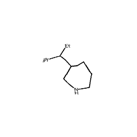 CCC(C(C)C)C1CCCNC1